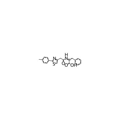 Cc1ccc(-c2nc(CC(=O)N[C@@H](Cc3ccccc3)C(=O)O)cs2)cc1